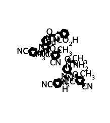 Cc1cc(C#N)cc(C)c1Oc1nc(Nc2ccc(C#N)cc2)nc2c1CN(C(=O)[C@H](C)N)CC2.Cc1cc(C#N)cc(C)c1Oc1nc(Nc2ccc(C#N)cc2)nc2c1CN(C(=O)[C@H](Cc1ccccc1)N(C(=O)O)C(C)(C)C)CC2